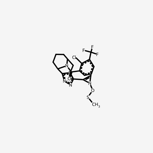 CSON1C=C1c1nnc2n1CC1CCCC2N1C(=O)c1cccc(C(F)(F)F)c1Cl